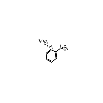 O.O.O.O.O=S(=O)(O)c1ccccc1